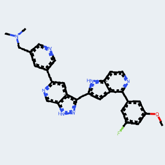 COc1cc(F)cc(-c2nccc3[nH]c(-c4n[nH]c5cnc(-c6cncc(CN(C)C)c6)cc45)cc23)c1